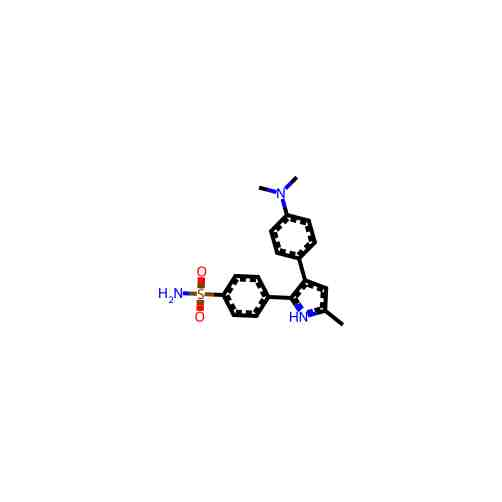 Cc1cc(-c2ccc(N(C)C)cc2)c(-c2ccc(S(N)(=O)=O)cc2)[nH]1